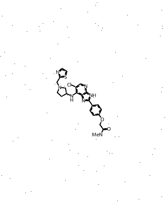 CNC(=O)COc1ccc(-c2nc3c(NC4CCN(Cc5nccs5)C4)c(Cl)cnc3[nH]2)cc1